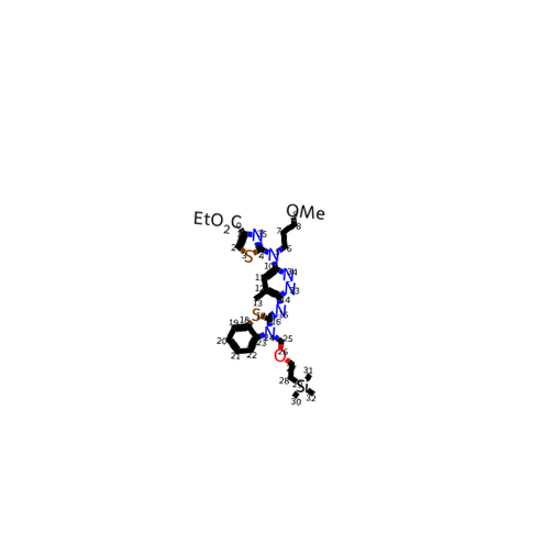 CCOC(=O)c1csc(N(CCCOC)c2cc(C)c(/N=c3\sc4ccccc4n3COCC[Si](C)(C)C)nn2)n1